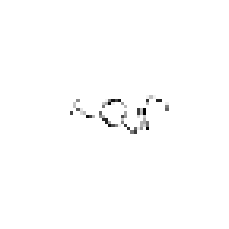 C=Cc1ccc2c(cnn2C)c1